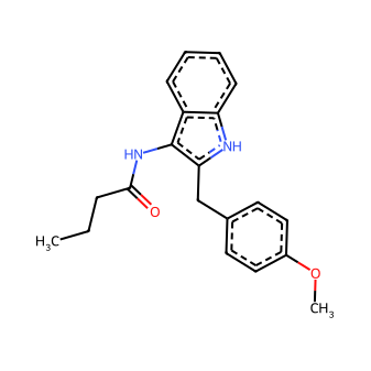 CCCC(=O)Nc1c(Cc2ccc(OC)cc2)[nH]c2ccccc12